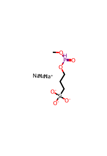 CO[PH](=O)OCCC[Si]([O-])([O-])[O-].[Na+].[Na+].[Na+]